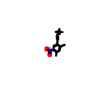 Cc1cc(C)c([N+](=O)[O-])cc1C#C[Si](C)(C)C